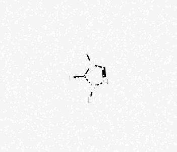 CCN1N=CN(Cl)C1F